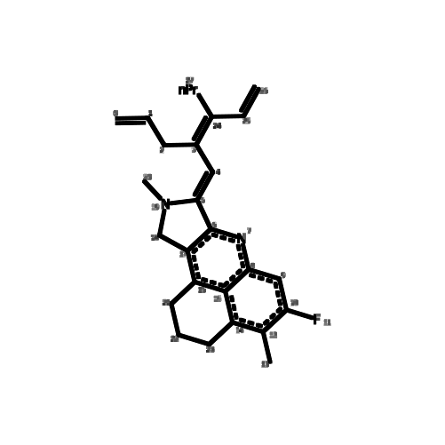 C=CCC(/C=C1/c2nc3cc(F)c(C)c4c3c(c2CN1C)CCC4)=C(/C=C)CCC